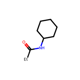 CCC(=O)NC1CC[CH]CC1